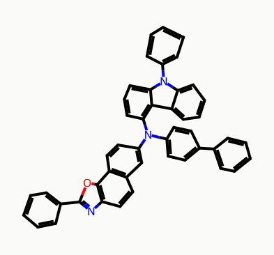 c1ccc(-c2ccc(N(c3ccc4c(ccc5nc(-c6ccccc6)oc54)c3)c3cccc4c3c3ccccc3n4-c3ccccc3)cc2)cc1